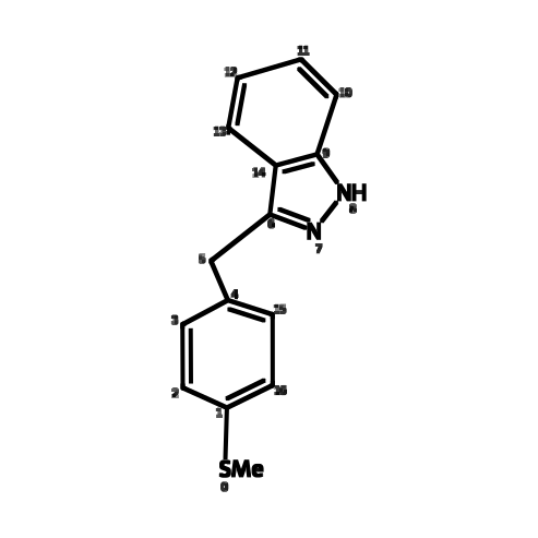 CSc1ccc(Cc2n[nH]c3ccc[c]c23)cc1